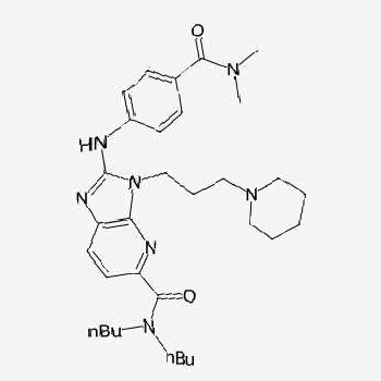 CCCCN(CCCC)C(=O)c1ccc2nc(Nc3ccc(C(=O)N(C)C)cc3)n(CCCN3CCCCC3)c2n1